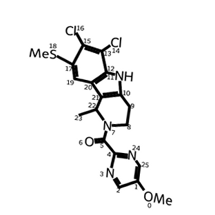 COc1cnc(C(=O)N2CCc3[nH]c4c(Cl)c(Cl)c(SC)cc4c3C2C)nc1